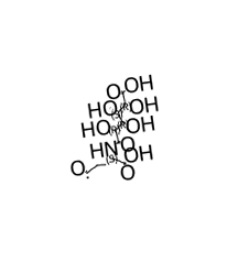 O=[C]CC[C@H](NC(=O)[C@H](O)[C@H](O)[C@H](O)[C@@H](O)C(=O)O)C(=O)O